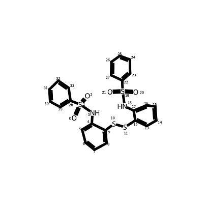 O=S(=O)(Nc1ccccc1SSc1ccccc1NS(=O)(=O)c1ccccc1)c1ccccc1